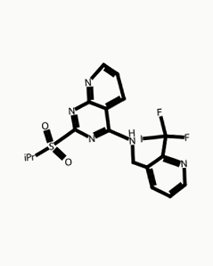 CC(C)S(=O)(=O)c1nc(NCc2cccnc2C(F)(F)I)c2cccnc2n1